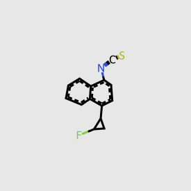 FC1CC1c1ccc(N=C=S)c2ccccc12